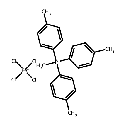 Cc1ccc([P+](C)(c2ccc(C)cc2)c2ccc(C)cc2)cc1.[Cl][Fe-]([Cl])([Cl])[Cl]